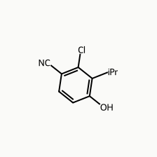 CC(C)c1c(O)ccc(C#N)c1Cl